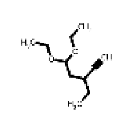 C#CC(CC)CC(OCC)OCC